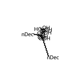 CCCCCCCCCCCCCCCCCCCCCCCC[C@@H](O)C(=O)N[C@@H](CO[C@@H]1O[C@H](CO)[C@H](O)[C@H](O)[C@H]1O)[C@H](O)[C@H](O)CCCCCCCCCCCCCC